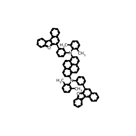 Cc1cccc(C)c1N(c1cccc(-c2cc3ccccc3c3c2oc2ccccc23)c1)c1ccc2ccc3c(N(c4cccc(-c5cc6ccccc6c6c5oc5ccccc56)c4)c4c(C)cccc4C)ccc4ccc1c2c43